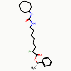 C[C@H](OC(=O)[C@H](F)CCCCCCNC(=O)NC1CCCCCCC1)c1ccccc1